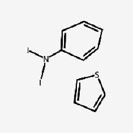 IN(I)c1ccccc1.c1ccsc1